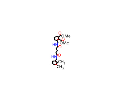 COC(=O)C1=C(C(=O)OC)C2(CNC(=O)CCCC(=O)NCC34C=CC(O3)C(C)=C4C)C=CC1O2